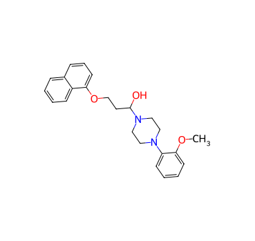 COc1ccccc1N1CCN(C(O)CCOc2cccc3ccccc23)CC1